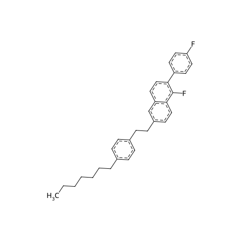 CCCCCCCc1ccc(CCc2ccc3c(F)c(-c4ccc(F)cc4)ccc3c2)cc1